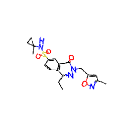 CCc1nn(Cc2cc(C)no2)c(=O)c2cc(S(=O)(=O)NC3(C)CC3)ccc12